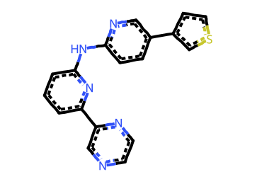 c1cc(Nc2ccc(-c3ccsc3)cn2)nc(-c2cnccn2)c1